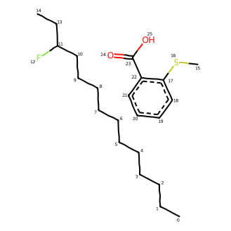 CCCCCCCCCCCC(F)CC.CSc1ccccc1C(=O)O